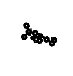 c1ccc(-c2cc(-c3ccccc3)nc(-c3ccc4c(c3)C3(c5ccccc5Oc5ccccc53)c3cc(-c5ccc(-c6cccc7cccnc67)cc5)ccc3-4)n2)cc1